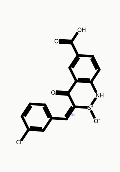 O=C(O)c1ccc2c(c1)C(=O)/C(=C\c1cccc(Cl)c1)[S+]([O-])N2